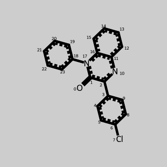 O=c1c(-c2ccc(Cl)cc2)nc2ccccc2n1-c1ccccc1